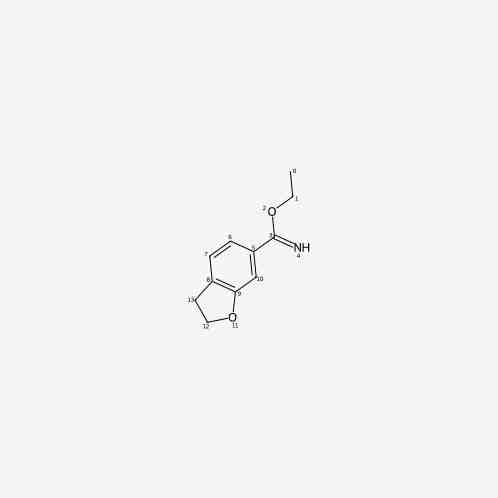 CCOC(=N)c1ccc2c(c1)OCC2